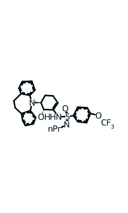 CCCN=S(=O)(NC1=CCC[C@H](N2c3ccccc3CCc3ccccc32)[C@H]1O)c1ccc(OC(F)(F)F)cc1